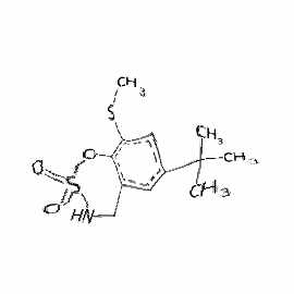 CSc1cc(C(C)(C)C)cc2c1OS(=O)(=O)NC2